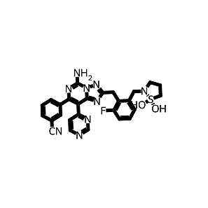 N#Cc1cccc(-c2nc(N)n3nc(Cc4c(F)cccc4CN4CCCS4(O)O)nc3c2-c2ccncn2)c1